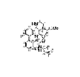 COC(=O)N1CCNC[C@H]1C(=O)N(c1cccc(F)c1)[C@H](C(=O)NC1CC(F)(F)C1)c1ccccc1Cl